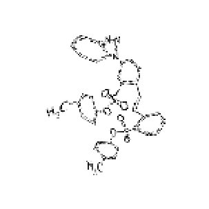 Cc1ccc(OS(=O)(=O)c2ccccc2C=Cc2ccc(-n3nnc4ccccc43)cc2S(=O)(=O)Oc2ccc(C)cc2)cc1